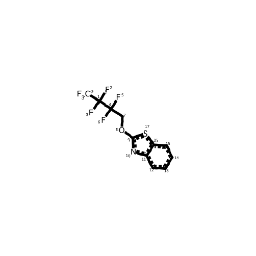 FC(F)(F)C(F)(F)C(F)(F)COc1nc2ccccc2s1